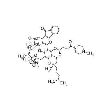 COC(=O)/C(C)=C\CC1(O)C(=O)C2CC(C(C)C)C13Oc1c(CC=C(C)C)c4c(c(OC(=O)CCC(=O)N5CCN(C)CC5)c1C1=C3C2C2=C(O1)c1ccccc1C2=O)C=CC(C)(CCC=C(C)C)O4